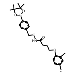 Cc1cc(Cl)ccc1OCCCC(=O)NOCc1ccc(B2OC(C)(C)C(C)(C)O2)cc1